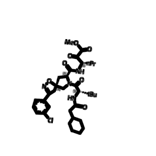 CCC[C@H](NC(=O)[C@@H]1C[C@]2(CC(c3cccc(Cl)c3)=NO2)CN1C(=O)[C@@H](NC(=O)CC1CCCCC1)C(C)(C)C)C(=O)C(=O)OC